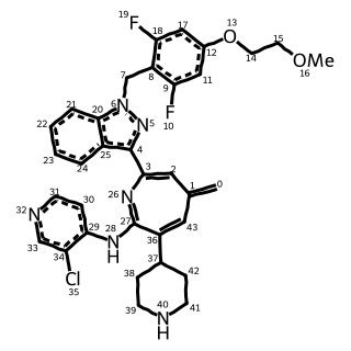 C=C1C=C(c2nn(Cc3c(F)cc(OCCOC)cc3F)c3ccccc23)N=C(Nc2ccncc2Cl)C(C2CCNCC2)=C1